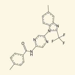 Cc1ccc(C(=O)Nc2cnc(-n3c(C(F)(F)F)nc4cc(C)ccc43)cn2)cc1